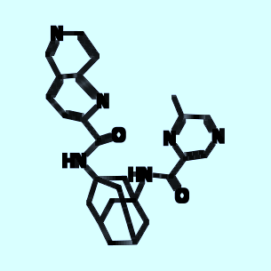 Cc1cncc(C(=O)NC23CC4CC(C2)CC(NC(=O)c2ccc5cnccc5n2)(C4)C3)n1